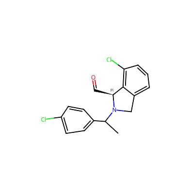 CC(c1ccc(Cl)cc1)N1Cc2cccc(Cl)c2[C@@H]1C=O